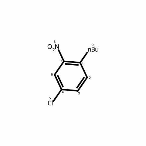 CCCCc1ccc(Cl)cc1[N+](=O)[O-]